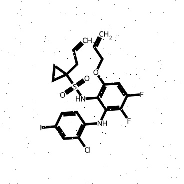 C=CCOc1cc(F)c(F)c(Nc2ccc(I)cc2Cl)c1NS(=O)(=O)C1(CC=C)CC1